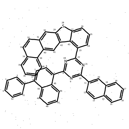 c1ccc(-c2ccc(-c3nc(-c4ccc5ccccc5c4)nc(-c4cccc5sc6cc7ccc8ccccc8c7cc6c45)n3)c3ccccc23)cc1